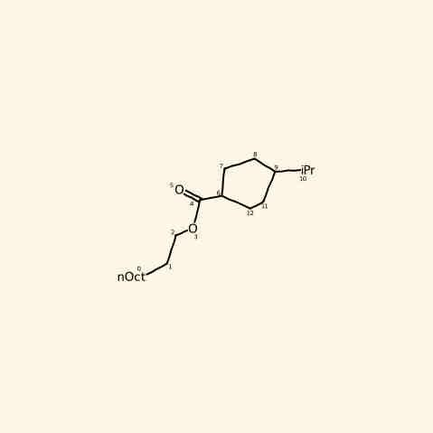 CCCCCCCCCCOC(=O)C1CCC(C(C)C)CC1